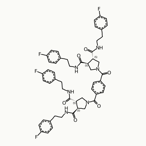 O=C(NCCc1ccc(F)cc1)[C@@H]1CN(C(=O)c2ccc(C(=O)N3C[C@@H](C(=O)NCCc4ccc(F)cc4)[C@H](C(=O)NCCc4ccc(F)cc4)C3)cc2)C[C@H]1C(=O)NCCc1ccc(F)cc1